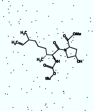 C=CC(C)CCC[C@@H](C)[C@H](NC(=O)OC(C)(C)C)C(=O)N1CC(O)CC1C(=O)OC